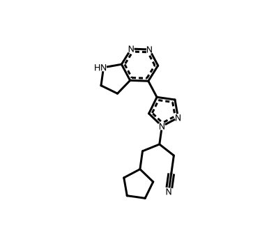 N#CCC(CC1CCCC1)n1cc(-c2cnnc3c2CCN3)cn1